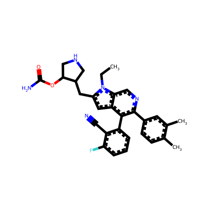 CCn1c(CC2CNCC2OC(N)=O)cc2c(-c3cccc(F)c3C#N)c(-c3ccc(C)c(C)c3)ncc21